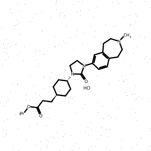 CC(C)OC(=O)CC[C@H]1CC[C@H](N2CCN(c3ccc4c(c3)CCN(C)CC4)C2=O)CC1.Cl